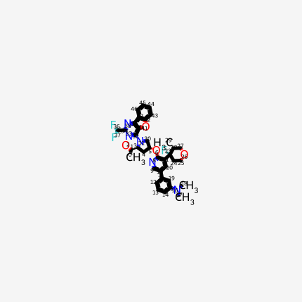 CC(=O)[C@@H]1C[C@H](Oc2ncc(-c3cccc(N(C)C)c3)cc2[C@@]2(F)CCOC[C@@H]2C)CN1c1nc(C(F)F)nc2c1oc1ccccc12